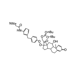 CCCCOP(OCC(=O)C1(OOc2ccc(Cc3cccc(NC(=O)CNC)c3)cc2)CCC2C3CCC4=CC(=O)C=CC4(C)C3C(O)CC21C)OC(C)(C)C